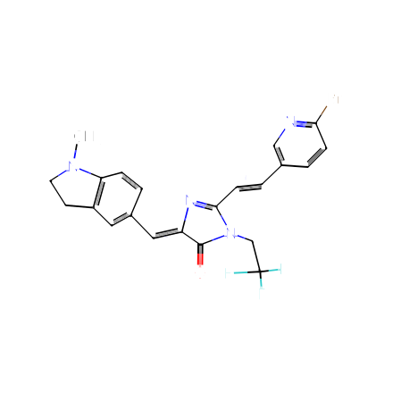 CN1CCc2cc(/C=C3N=C(/C=C/c4ccc(Br)nc4)N(CC(F)(F)F)C\3=O)ccc21